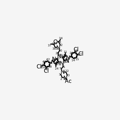 CC(=O)N1CCN(CCNc2cc(C)n(-c3ccc(Cl)c(Cl)c3)n2)CC1.Cc1cc(NCCN2CC(C)OC(C)C2)nn1-c1ccc(Cl)c(Cl)c1